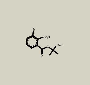 CCCCCC(C)(C)OC(=O)c1cccc(Br)c1C(=O)O